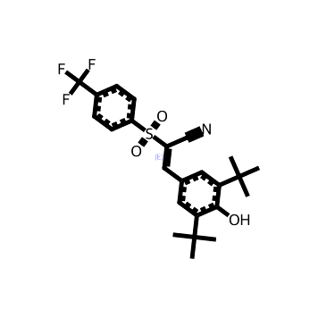 CC(C)(C)c1cc(/C=C(\C#N)S(=O)(=O)c2ccc(C(F)(F)F)cc2)cc(C(C)(C)C)c1O